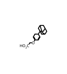 O=C(O)COC1=CCC(C23CC4CC(CC(C4)C2)C3)C=C1